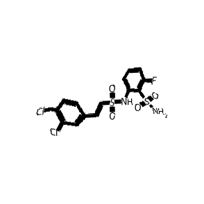 NS(=O)(=O)c1c(F)cccc1NS(=O)(=O)C=Cc1ccc(Cl)c(Cl)c1